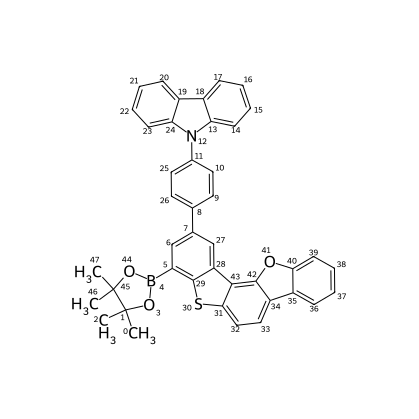 CC1(C)OB(c2cc(-c3ccc(-n4c5ccccc5c5ccccc54)cc3)cc3c2sc2ccc4c5ccccc5oc4c23)OC1(C)C